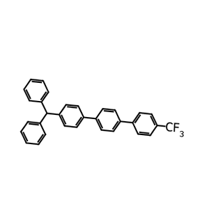 FC(F)(F)c1ccc(-c2ccc(-c3ccc(C(c4ccccc4)c4ccccc4)cc3)cc2)cc1